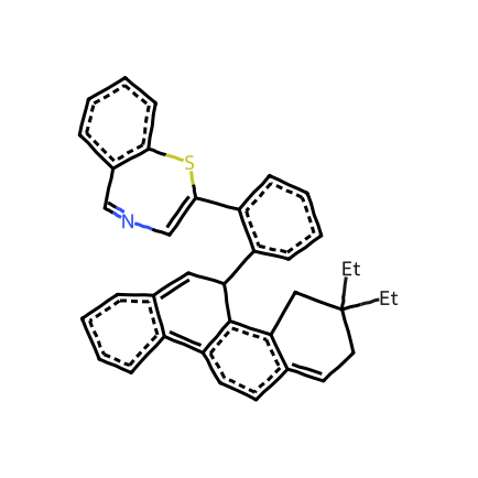 CCC1(CC)CC=c2ccc3c(c2C1)C(c1ccccc1C1=CN=Cc2ccccc2S1)C=c1ccccc1=3